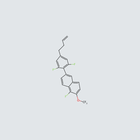 C=CCCc1cc(F)c(-c2ccc3c(F)c(OC(F)(F)F)ccc3c2)c(F)c1